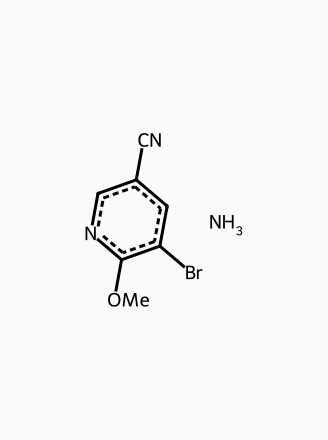 COc1ncc(C#N)cc1Br.N